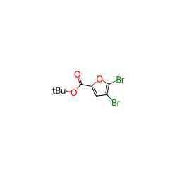 CC(C)(C)OC(=O)c1cc(Br)c(Br)o1